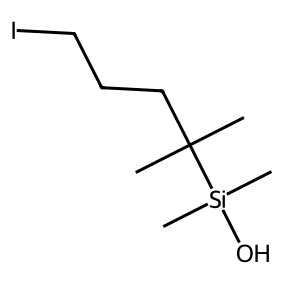 CC(C)(CCCI)[Si](C)(C)O